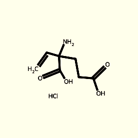 C=CC(N)(CCC(=O)O)C(=O)O.Cl